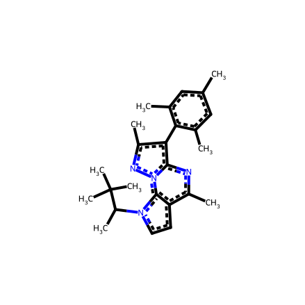 Cc1cc(C)c(-c2c(C)nn3c2nc(C)c2ccn(C(C)C(C)(C)C)c23)c(C)c1